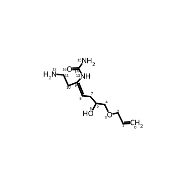 C=CCOCC(O)CC=C(CCN)NC(N)=O